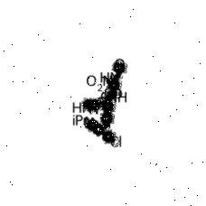 CC(C)N1CCC2(CCC(c3ccc(Cl)cc3)=C(CN3CCN(c4ccc(C(=O)NS(=O)(=O)c5ccc(NCC6CCOCC6)c([N+](=O)[O-])c5)c(Oc5cnc6[nH]ccc6c5)c4)CC3)C2)CC1